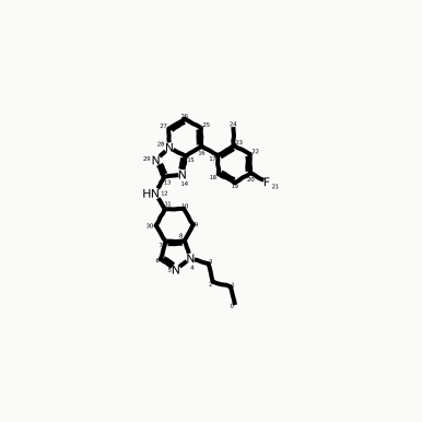 CCCCn1ncc2c1CCC(Nc1nc3c(-c4ccc(F)cc4C)cccn3n1)C2